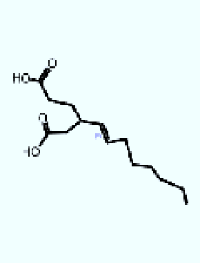 CCCCCC/C=C/C(CCC(=O)O)CC(=O)O